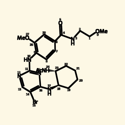 COCCNC(=O)c1ccc(Nc2ncc(Br)c(N[C@@H]3CCCC[C@H]3NC(C)=O)n2)c(OC)c1